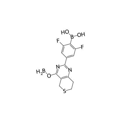 BOc1nc(-c2cc(F)c(B(O)O)c(F)c2)nc2c1CSCC2